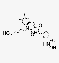 Cc1cc2nc(C(=O)NC3CCC(C(=O)NO)C3)c(=O)n(CCCCCO)c2cc1C